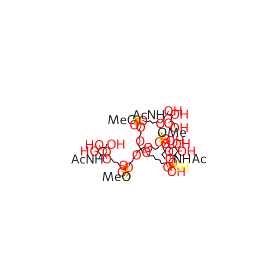 COSP(=O)(OCCCCOC1OC(CO)C(O)C(O)C1NC(C)=O)OCCCOCC(COCCCCCCOP(=O)(O)S)(COCCCOP(=O)(OCCCCOC1OC(CO)C(O)C(O)C1NC(C)=O)SOC)COCCCOP(=O)(OCCCCOC1OC(CO)C(O)C(O)C1NC(C)=O)SOC